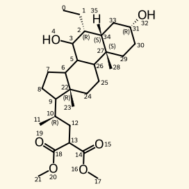 CC[C@H]1C(O)C2C3CCC([C@H](C)CC(C(=O)OC)C(=O)OC)[C@@]3(C)CCC2[C@@]2(C)CC[C@@H](O)C[C@@H]12